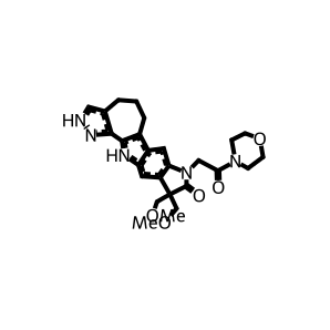 COCC1(COC)C(=O)N(CC(=O)N2CCOCC2)c2cc3c4c([nH]c3cc21)-c1n[nH]cc1CCC4